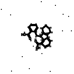 O=C(O)c1ccccc1Cn1c2c(c3cccc(C(=O)O)c31)CCCC2